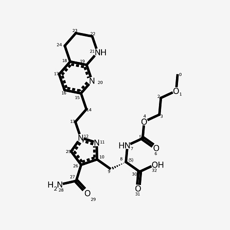 COCCOC(=O)N[C@@H](Cc1nn(CCc2ccc3c(n2)NCCC3)cc1C(N)=O)C(=O)O